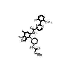 COc1cccc(F)c1-c1nccc(C(=O)Nc2cc(I)c3c(cnn3C)c2N2CCC[C@@H](NC(=O)OC(C)(C)C)C2)n1